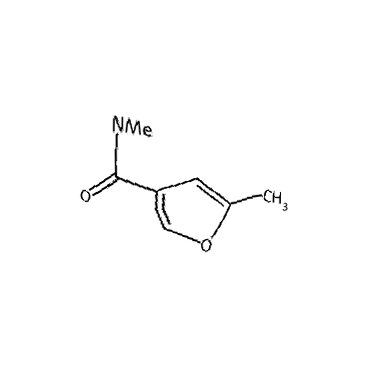 CNC(=O)c1coc(C)c1